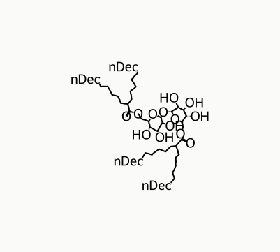 CCCCCCCCCCCCCCCC(CCCCCCCCCCCCCCC)C(=O)OCC1O[C@H](O[C@H]2OC(COC(=O)C(CCCCCCCCCCCCCCC)CCCCCCCCCCCCCCC)[C@@H](O)[C@H](O)C2O)C(O)[C@@H](O)[C@@H]1O